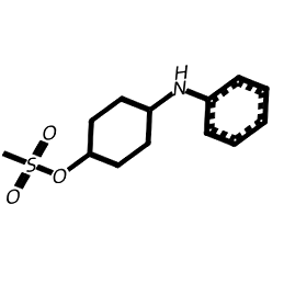 CS(=O)(=O)OC1CCC(Nc2ccccc2)CC1